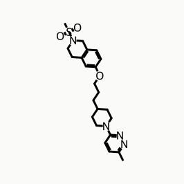 Cc1ccc(N2CCC(CCCOc3ccc4c(c3)CCN(S(C)(=O)=O)C4)CC2)nn1